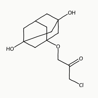 O=C(CCl)COC12CC3CC(O)(CC(O)(C3)C1)C2